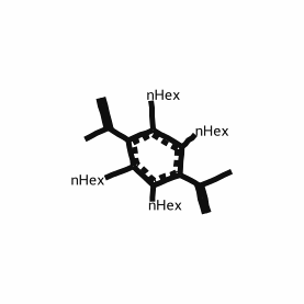 C=C(C)c1c(CCCCCC)c(CCCCCC)c(C(=C)C)c(CCCCCC)c1CCCCCC